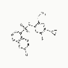 COc1nc(C2CC2)c(F)cc1NS(=O)(=O)c1cccc2nc(Cl)ccc12